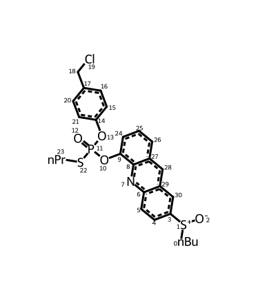 CCCC[S+]([O-])c1ccc2nc3c(OP(=O)(Oc4ccc(CCl)cc4)SCCC)cccc3cc2c1